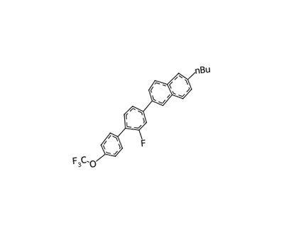 CCCCc1ccc2cc(-c3ccc(-c4ccc(OC(F)(F)F)cc4)c(F)c3)ccc2c1